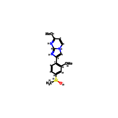 COc1ccn2cc(-c3ccc([S+](C)[O-])cc3OC)nc2n1